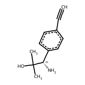 C#Cc1ccc([C@H](N)C(C)(C)O)cc1